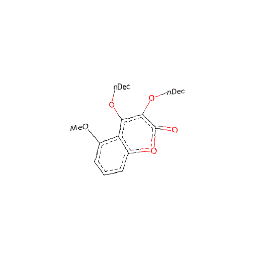 CCCCCCCCCCOc1c(OCCCCCCCCCC)c2c(OC)cccc2oc1=O